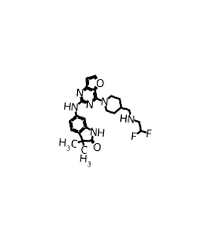 CC1(C)C(=O)Nc2cc(Nc3nc(N4CCC(CNCC(F)F)CC4)c4occc4n3)ccc21